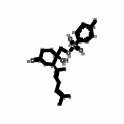 CC(C)=CC/C=C(\C)[C@H]1CC(=O)CC[C@]1(O)COS(=O)(=O)c1ccc(C)cc1